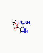 CC(C)(C)OC(=O)c1c[nH]nc1C(=N)N